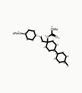 CCCCC[C@H]1CC[C@H](CCC2(OC(=O)OC)CCC(C3CCC(C)CC3)CC2)CC1